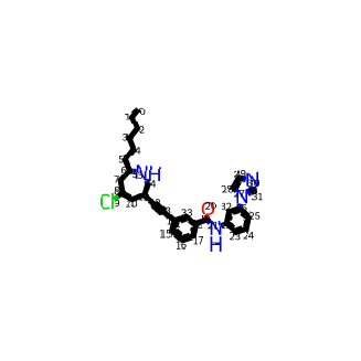 CCCCCCC1CC(Cl)CC(C#Cc2cccc(C(=O)Nc3cccc(-n4ccnc4)c3)c2)CN1